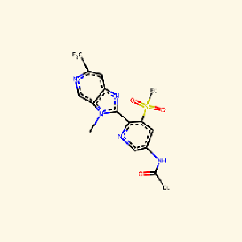 CCC(=O)Nc1cnc(-c2nc3cc(C(F)(F)F)ncc3n2C)c(S(=O)(=O)CC)c1